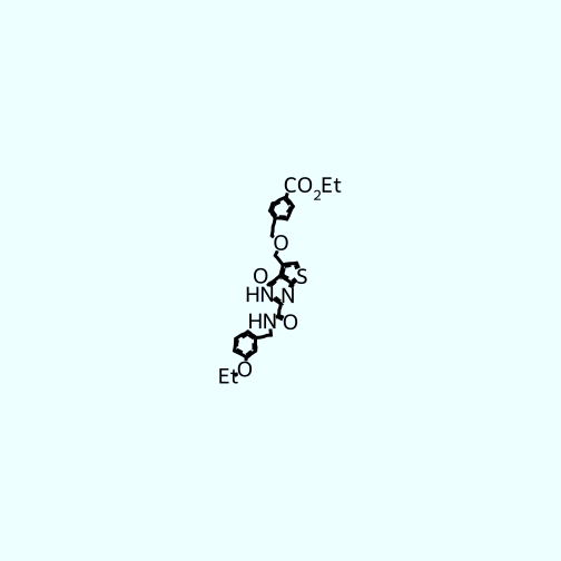 CCOC(=O)c1ccc(COCc2csc3nc(C(=O)NCc4cccc(OCC)c4)[nH]c(=O)c23)cc1